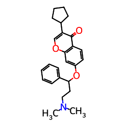 CN(C)CCC(Oc1ccc2c(=O)c(C3CCCC3)coc2c1)c1ccccc1